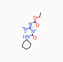 CCOC(=O)/N=C(/N(C)C)N(C)C(=O)NC1CCCCC1